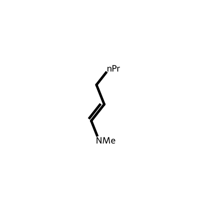 [CH2]CCC/C=C/NC